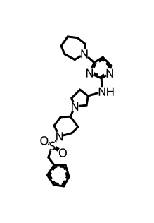 O=S(=O)(Cc1ccccc1)N1CCC(N2CCC(Nc3nccc(N4CCCCCC4)n3)C2)CC1